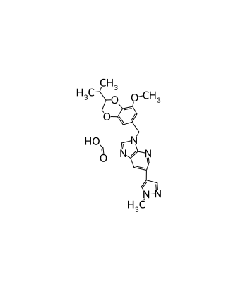 COc1cc(Cn2cnc3cc(-c4cnn(C)c4)cnc32)cc2c1OC(C(C)C)CO2.O=CO